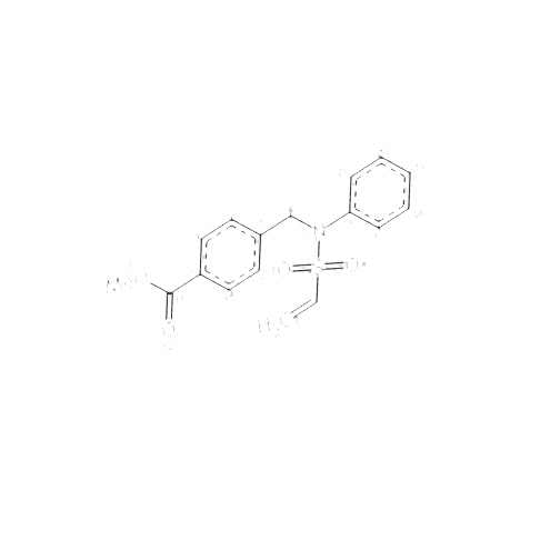 C=CS(=O)(=O)N(Cc1ccc(C(=O)OC)cc1)c1ccccc1